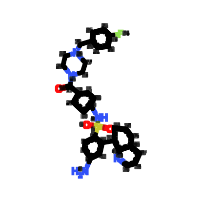 Nc1ccc(S(=O)(=O)Nc2ccc(C(=O)N3CCN(Cc4ccc(F)cc4)CC3)cc2)c(-c2cccc3cccnc23)c1